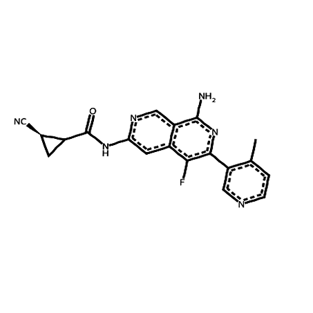 Cc1ccncc1-c1nc(N)c2cnc(NC(=O)C3C[C@H]3C#N)cc2c1F